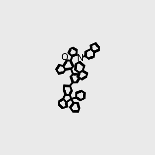 c1ccc(C2(c3ccccc3)c3ccccc3-c3ccc(-c4cccc(-c5cc6c(oc7cccc(N(c8ccc9ccccc9c8)c8ccc9ccccc9c8)c76)c6ccccc56)c4)cc32)cc1